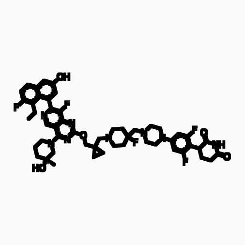 CCc1c(F)ccc2cc(O)cc(-c3ncc4c(N5CCC[C@@](C)(O)C5)nc(OCC5(CN6CCC(F)(CN7CCN(c8cc(F)c(C9CCC(=O)NC9=O)c(F)c8)CC7)CC6)CC5)nc4c3F)c12